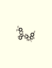 Nc1nc(-c2nc(Cc3c(F)ccc(F)c3F)n3ncccc23)ncc1-c1ccnc2cc(F)ccc12